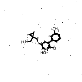 Cc1cccc(-c2cc(OCC3(CN)CC3)cnc2Cl)c1.Cl